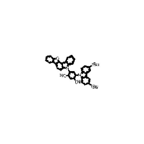 CC(C)(C)c1ccc2c(c1)c1cc(C(C)(C)C)ccc1n2-c1cc(-n2c3ccccc3c3c4oc5ccccc5c4ccc32)c(C#N)cc1C#N